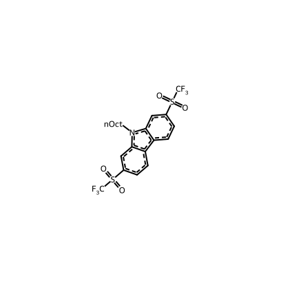 CCCCCCCCn1c2cc(S(=O)(=O)C(F)(F)F)ccc2c2ccc(S(=O)(=O)C(F)(F)F)cc21